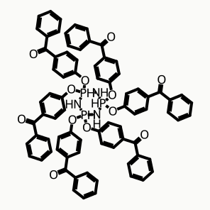 O=C(c1ccccc1)c1ccc(O[PH]2(Oc3ccc(C(=O)c4ccccc4)cc3)N[PH](Oc3ccc(C(=O)c4ccccc4)cc3)(Oc3ccc(C(=O)c4ccccc4)cc3)N[PH](Oc3ccc(C(=O)c4ccccc4)cc3)(Oc3ccc(C(=O)c4ccccc4)cc3)N2)cc1